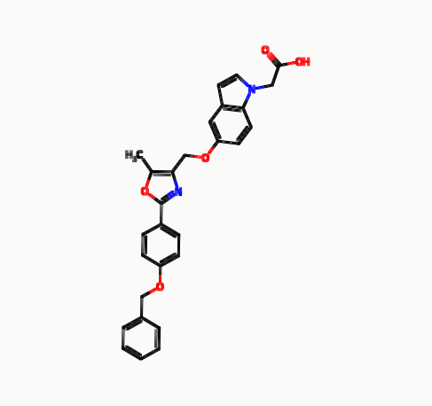 Cc1oc(-c2ccc(OCc3ccccc3)cc2)nc1COc1ccc2c(ccn2CC(=O)O)c1